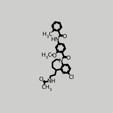 COc1cc(NC(=O)c2ccccc2C)ccc1C(=O)N1CCCC(CCNC(C)=O)c2cc(Cl)ccc21